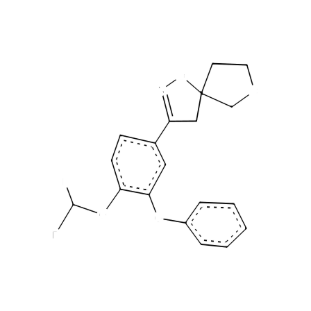 FC(F)Oc1ccc(C2=NOC3(CCOC3)C2)cc1Oc1cc[c]cc1